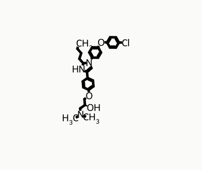 CCCCC1NC(c2ccc(OC[C@@H](O)CN(C)C)cc2)=CN1c1ccc(Oc2ccc(Cl)cc2)cc1